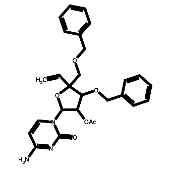 C=CC1(COCc2ccccc2)OC(n2ccc(N)nc2=O)C(OC(C)=O)C1OCc1ccccc1